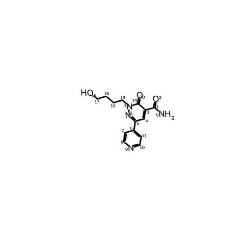 NC(=O)c1cc(-c2ccncc2)nn(CCCCO)c1=O